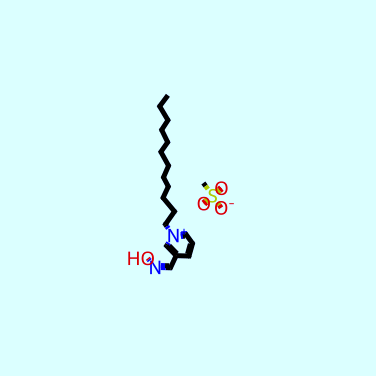 CCCCCCCCCCCC[n+]1cccc(/C=N\O)c1.CS(=O)(=O)[O-]